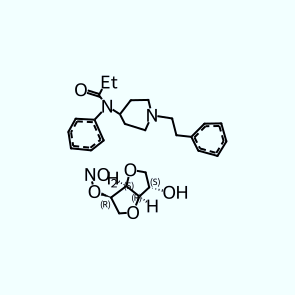 CCC(=O)N(c1ccccc1)C1CCN(CCc2ccccc2)CC1.O=[N+]([O-])O[C@@H]1CO[C@H]2[C@@H]1OC[C@@H]2O